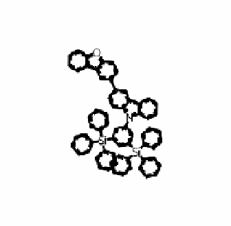 c1ccc([Si](c2ccccc2)(c2ccccc2)c2cc(-n3c4ccccc4c4cc(-c5ccc6oc7ccccc7c6c5)ccc43)cc([Si](c3ccccc3)(c3ccccc3)c3ccccc3)c2)cc1